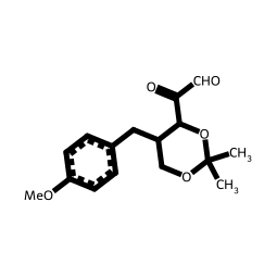 COc1ccc(CC2COC(C)(C)OC2C(=O)C=O)cc1